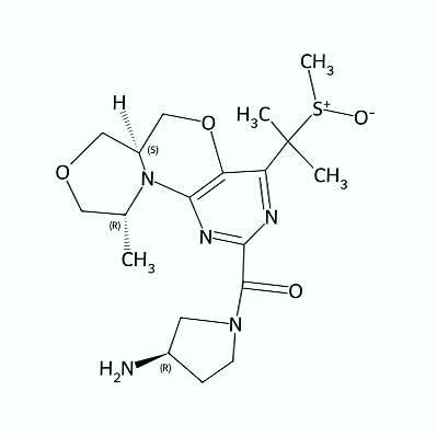 C[C@@H]1COC[C@H]2COc3c(nc(C(=O)N4CC[C@@H](N)C4)nc3C(C)(C)[S+](C)[O-])N21